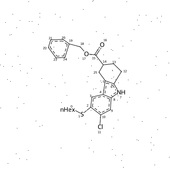 CCCCCCSc1cc2c3c([nH]c2cc1Cl)CCC(C(=O)OCc1ccccc1)C3